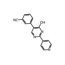 N#Cc1cccc(-c2cnc(-c3ccncc3)nc2O)c1